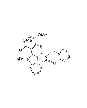 CCCN1c2ccccc2[C@]23CCC(=O)N(Cc4ccccc4)C2=NC(C(=O)OC)=C(C(=O)OC)C13